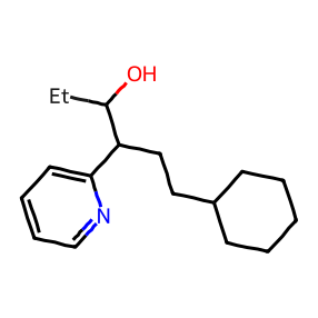 CCC(O)C(CCC1CCCCC1)c1ccccn1